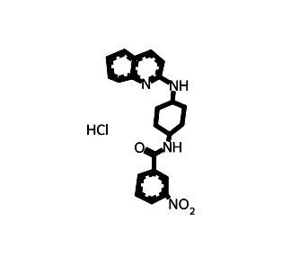 Cl.O=C(NC1CCC(Nc2ccc3ccccc3n2)CC1)c1cccc([N+](=O)[O-])c1